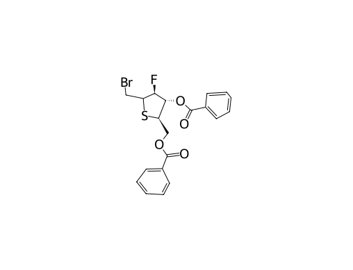 O=C(OC[C@H]1SC(CBr)[C@@H](F)[C@@H]1OC(=O)c1ccccc1)c1ccccc1